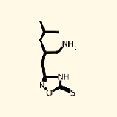 CC(C)CC(CN)Cc1noc(=S)[nH]1